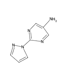 Nc1cnc(-n2cccn2)nc1